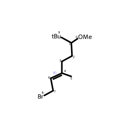 COC(CC/C(C)=C/CBr)C(C)(C)C